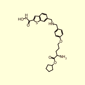 NC(CCCOc1ccc(CNCc2ccc3cc(C(=O)NO)sc3c2)cc1)C(=O)OC1CCCC1